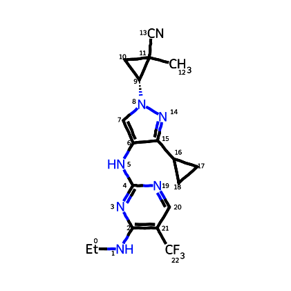 CCNc1nc(Nc2cn([C@@H]3CC3(C)C#N)nc2C2CC2)ncc1C(F)(F)F